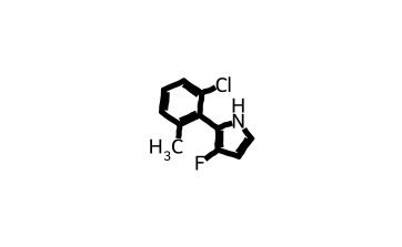 Cc1cccc(Cl)c1-c1[nH]ccc1F